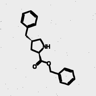 O=C(OCc1ccccc1)[C@H]1C[C@H](Cc2ccccc2)CN1